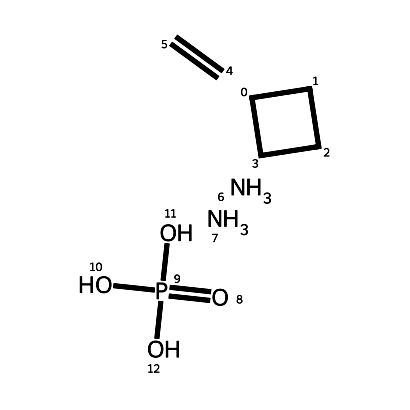 C1CCC1.C=C.N.N.O=P(O)(O)O